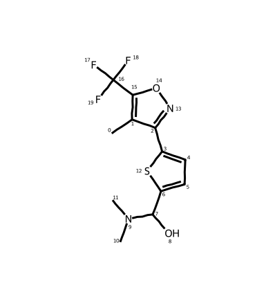 Cc1c(-c2ccc(C(O)N(C)C)s2)noc1C(F)(F)F